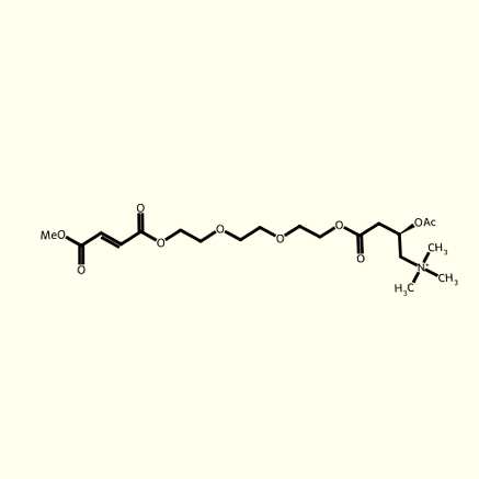 COC(=O)/C=C/C(=O)OCCOCCOCCOC(=O)C[C@H](C[N+](C)(C)C)OC(C)=O